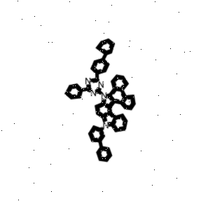 c1ccc(-c2ccc(-c3nc(-c4ccccc4)nc(-n4c5ccc6c(c7ccccc7n6-c6cccc(-c7ccccc7)c6)c5c5c6ccccc6c6ccccc6c54)n3)cc2)cc1